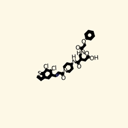 O=C(O)CC(CNC(=O)COc1ccccc1)C(=O)NC1CCN(C(=O)/C=C/C2=Cc3ccsc3C(Cl)C2Cl)CC1